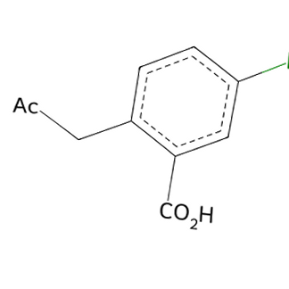 CC(=O)Cc1ccc(F)cc1C(=O)O